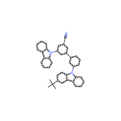 CC(C)(C)c1ccc2c(c1)c1ccccc1n2-c1cccc(-c2cc(C#N)cc(-n3c4ccccc4c4ccccc43)c2)c1